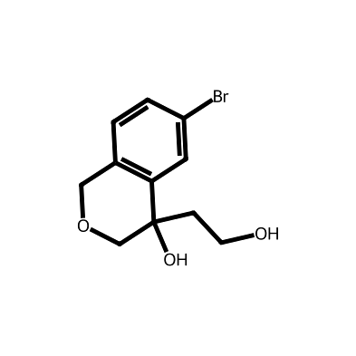 OCCC1(O)COCc2ccc(Br)cc21